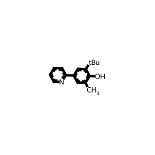 Cc1cc(-c2ccccn2)cc(C(C)(C)C)c1O